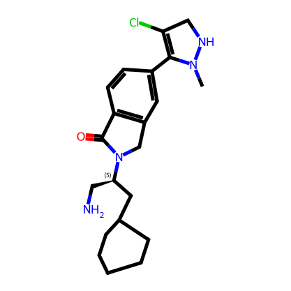 CN1NCC(Cl)=C1c1ccc2c(c1)CN([C@H](CN)CC1CCCCC1)C2=O